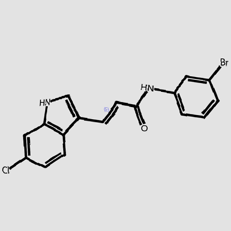 O=C(/C=C/c1c[nH]c2cc(Cl)ccc12)Nc1cccc(Br)c1